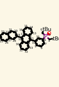 CC(C)(C)CP(=O)(CC(C)(C)C)c1cccc(-c2c3ccccc3c(-c3ccc4ccccc4c3)c3ccccc23)c1